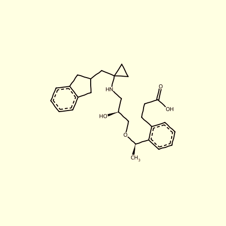 C[C@@H](OC[C@@H](O)CNC1(CC2Cc3ccccc3C2)CC1)c1ccccc1CCC(=O)O